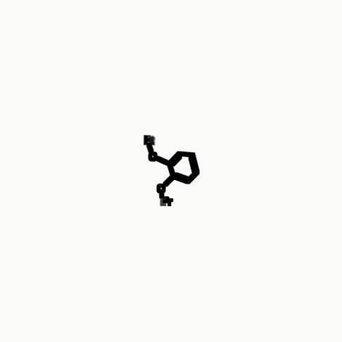 [CH2]COc1ccccc1OC([CH2])C